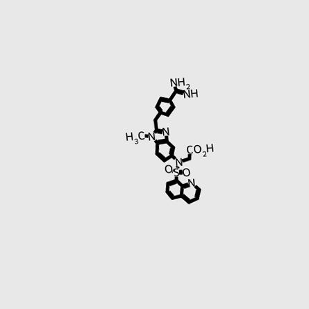 Cn1c(Cc2ccc(C(=N)N)cc2)nc2cc(N(CC(=O)O)S(=O)(=O)c3cccc4cccnc34)ccc21